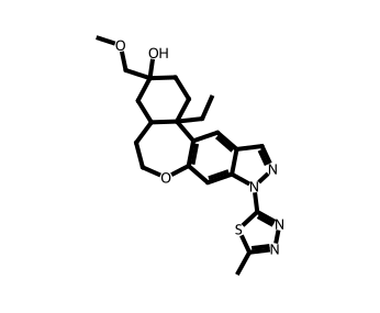 CCC12CCC(O)(COC)CC1CCOc1cc3c(cnn3-c3nnc(C)s3)cc12